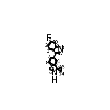 FC1=CC=C2C(c3ccc4c(c3)C3(CC3)NS4)=CN=C2C1